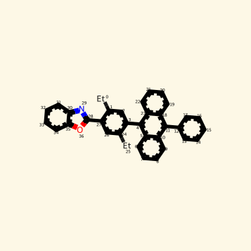 CCc1cc(-c2c3ccccc3c(-c3ccccc3)c3ccccc23)c(CC)cc1-c1nc2ccccc2o1